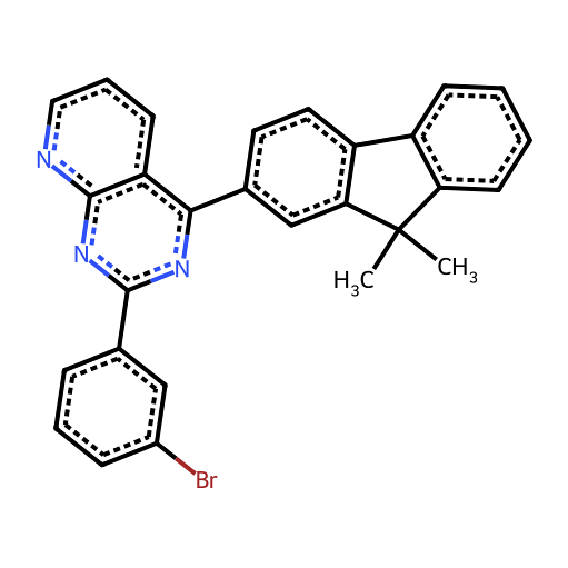 CC1(C)c2ccccc2-c2ccc(-c3nc(-c4cccc(Br)c4)nc4ncccc34)cc21